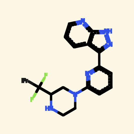 CC(C)C(F)(F)C1CN(c2cccc(-c3n[nH]c4ncccc34)n2)CCN1